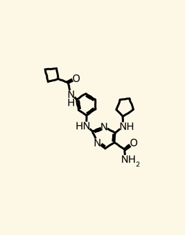 NC(=O)c1cnc(Nc2cccc(NC(=O)C3CCC3)c2)nc1NC1CCCC1